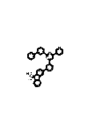 CC1(C)c2ccccc2-c2cc(-c3cccc(-c4cc(-c5cccnc5)nc(-c5cccc(-c6ccccc6)c5)n4)c3)ccc21